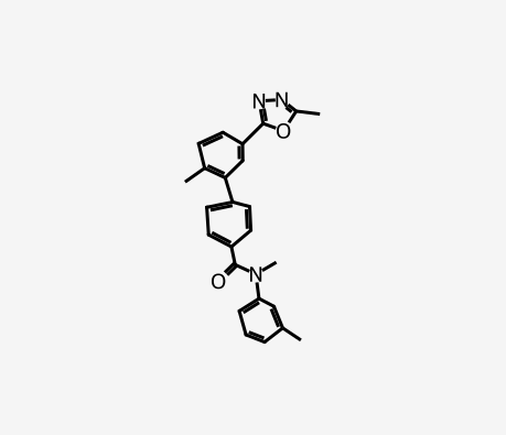 Cc1cccc(N(C)C(=O)c2ccc(-c3cc(-c4nnc(C)o4)ccc3C)cc2)c1